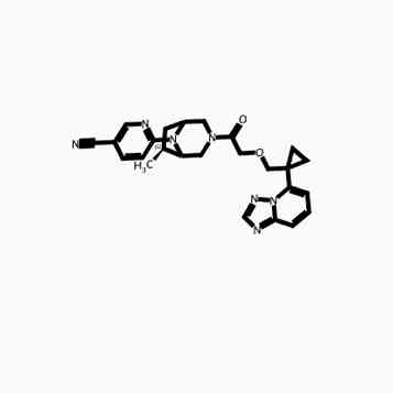 C[C@H]1CC2CN(C(=O)COCC3(c4cccc5ncnn45)CC3)CC1N2c1ccc(C#N)cn1